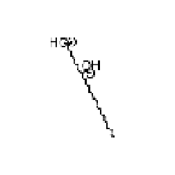 CCCCCCCCCCCCCCCCCCC(CCCCCCCC(=O)O)C(=O)O